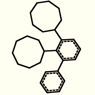 c1ccc(-c2cccc(C3CCCCCCC3)c2C2CCCCCCC2)cc1